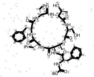 CCC(C)C(=O)N[C@H](Cc1ccccc1)C(=O)N[C@H]1C(=O)N[C@H](CC(C)C)C(=O)N[C@H](Cc2ccccc2)C(=O)N[C@H](CC(C)C)C(=O)N[C@H]([C@H](C)O)C(=O)N[C@@H](CO)C(=O)O[C@H]1C